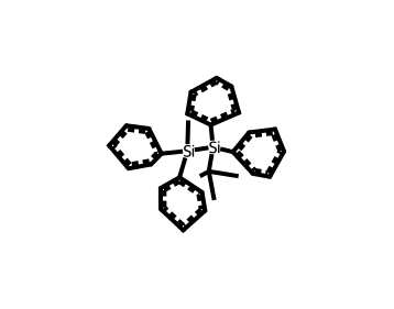 CC(C)(C)[Si](c1ccccc1)(c1ccccc1)[Si](C)(c1ccccc1)c1ccccc1